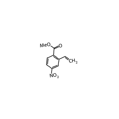 C=Cc1cc([N+](=O)[O-])ccc1C(=O)OC